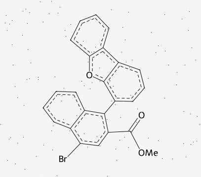 COC(=O)c1cc(Br)c2ccccc2c1-c1cccc2c1oc1ccccc12